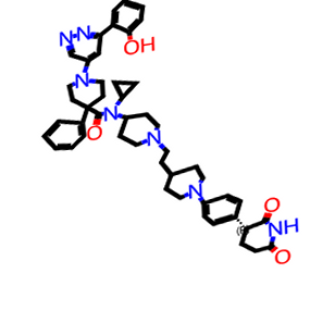 O=C1CC[C@H](c2ccc(N3CCC(CCN4CCC(N(C(=O)C5(c6ccccc6)CCN(c6cnnc(-c7ccccc7O)c6)CC5)C5CC5)CC4)CC3)cc2)C(=O)N1